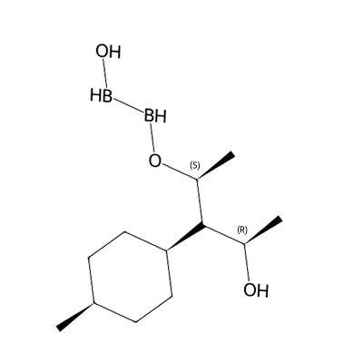 C[C@H](OBBO)C([C@H]1CC[C@@H](C)CC1)[C@@H](C)O